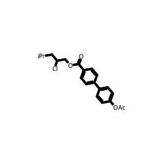 CC(=O)Oc1ccc(-c2ccc(C(=O)OCC(Cl)CC(C)C)cc2)cc1